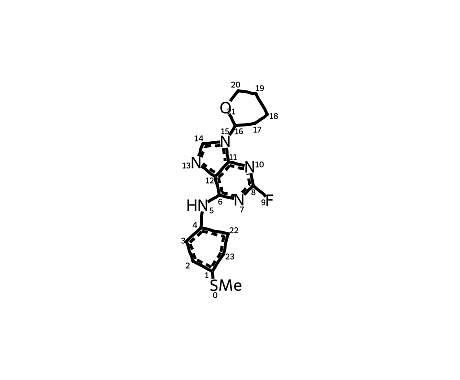 CSc1ccc(Nc2nc(F)nc3c2ncn3C2CCCCO2)cc1